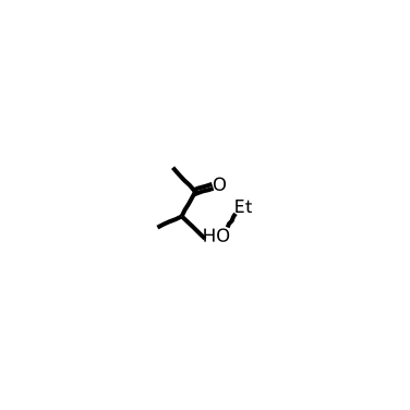 CC(=O)C(C)C.CCO